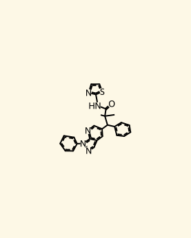 CC(C)(C(=O)Nc1nccs1)C(c1ccccc1)c1cnc2c(cnn2-c2ccccc2)c1